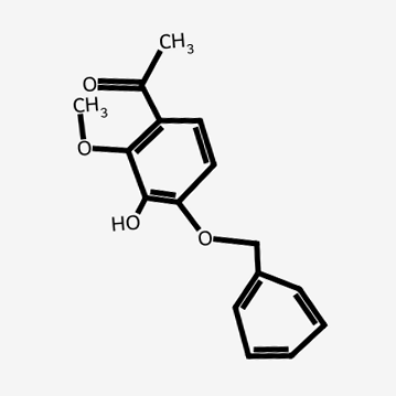 COc1c(C(C)=O)ccc(OCc2ccccc2)c1O